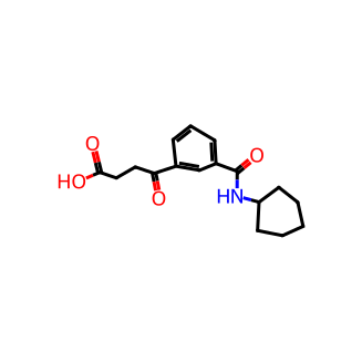 O=C(O)CCC(=O)c1cccc(C(=O)NC2CCCCC2)c1